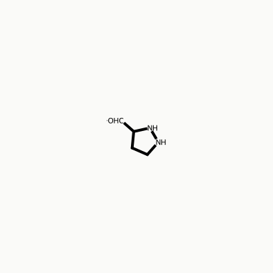 O=[C]C1CCNN1